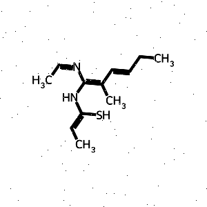 C/C=N\C(N/C(S)=C/C)=C(\C)C=CCC